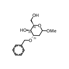 COC1C[C@H](OCc2ccccc2)[C@@H](O)[C@@H](CO)O1